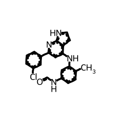 Cc1ccc(NC=O)cc1Nc1cc(-c2cccc(Cl)c2)nc2[nH]ccc12